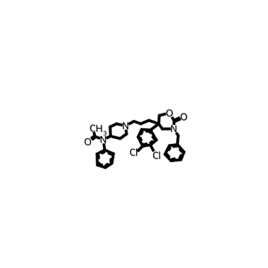 CC(=O)N(c1ccccc1)C1CCN(CCCC2(c3ccc(Cl)c(Cl)c3)COC(=O)N(Cc3ccccc3)C2)CC1